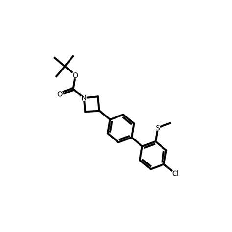 CSc1cc(Cl)ccc1-c1ccc(C2CN(C(=O)OC(C)(C)C)C2)cc1